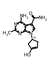 Cc1nc(N)c2c(C(N)=O)cn([C@H]3CC=C(O)C3)c2n1